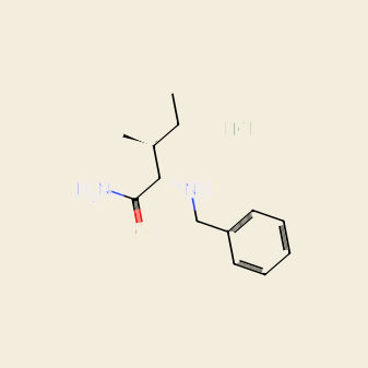 CC[C@H](C)[C@H](NCc1ccccc1)C(N)=O.Cl